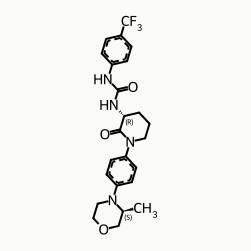 C[C@H]1COCCN1c1ccc(N2CCC[C@@H](NC(=O)Nc3ccc(C(F)(F)F)cc3)C2=O)cc1